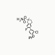 CC(C)Oc1ccc(-c2cc3c(cc2F)[C@H](OC(N)=O)C(C)(C)CC3)cc1Cl